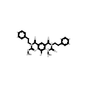 CCCCOC(=O)N(CCc1ccccc1)C(=O)c1cc(I)cc(C(=O)N(CCc2ccccc2)C(=O)OCCCC)c1